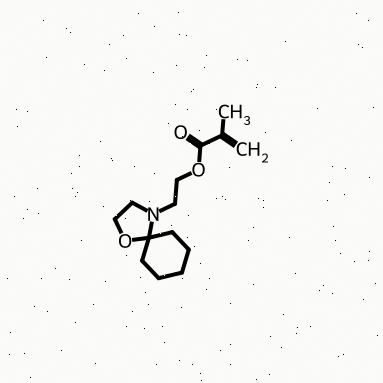 C=C(C)C(=O)OCCN1CCOC12CCCCC2